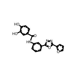 O=C(Nc1cccc(-c2nnc(-c3ccco3)o2)c1)c1ccc(O)c(O)c1